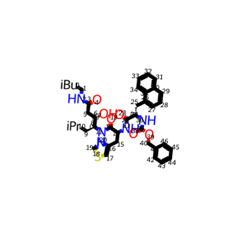 CCC(C)CNC(=O)C[C@H](O)[C@H](CC(C)C)NC(=O)C(Cc1cscn1)NC(=O)[C@H](Cc1cccc2ccccc12)NC(=O)OCc1ccccc1